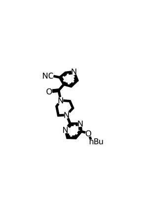 CCCCOc1ccnc(N2CCN(C(=O)c3ccncc3C#N)CC2)n1